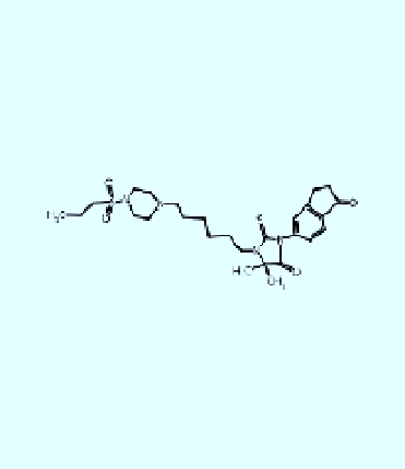 CCCS(=O)(=O)N1CCN(CCCCCCN2C(=S)N(c3ccc4c(c3)CCC4=O)C(=O)C2(C)C)CC1